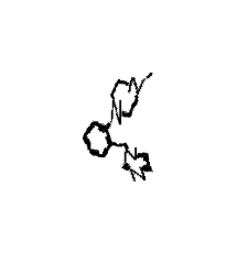 CN1CCN(c2ccccc2Cn2ccnc2)CC1